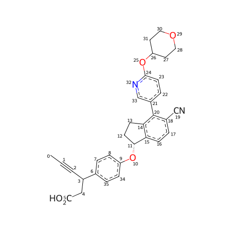 CC#CC(CC(=O)O)c1ccc(O[C@@H]2CCc3c2ccc(C#N)c3-c2ccc(OC3CCOCC3)nc2)cc1